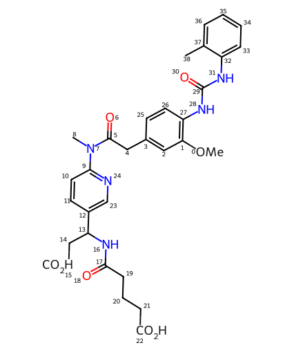 COc1cc(CC(=O)N(C)c2ccc(C(CC(=O)O)NC(=O)CCCC(=O)O)cn2)ccc1NC(=O)Nc1ccccc1C